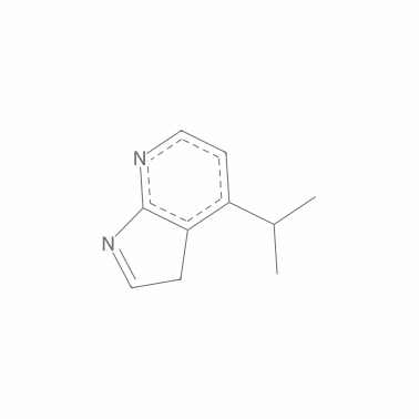 CC(C)c1ccnc2c1CC=N2